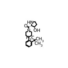 CC(C)(C)c1ccccc1C1CCN(C(=O)[C@@H]2NCC[C@H]2O)CC1